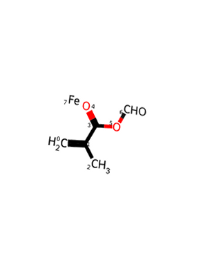 C=C(C)C(=O)OC=O.[Fe]